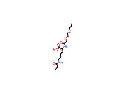 CCCOCCOCC(=O)N[C@@H](CCCCNC(=O)CC)C(=O)O